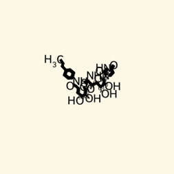 CCCc1ccc(NC(=O)C2=C[C@H](O)[C@H](O)[C@@H](O[C@@H](C(N)=O)[C@H]3O[C@@H](n4ccc(=O)[nH]c4=O)[C@H](O)[C@@H]3CO)O2)cc1